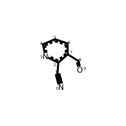 N#Cc1ncccc1[C]=O